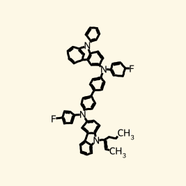 C/C=C(\CCC)n1c2ccccc2c2cc(N(c3ccc(F)cc3)c3ccc(-c4ccc(N(C5=CCC(F)C=C5)c5ccc6c(c5)C5C=CC=CC(=C5)N6c5ccccc5)cc4)cc3)ccc21